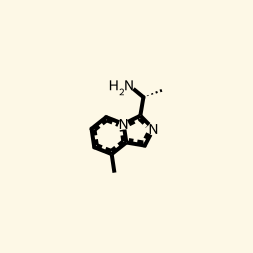 Cc1cccn2c([C@@H](C)N)ncc12